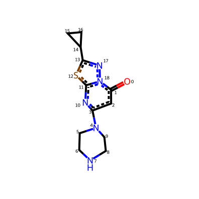 O=c1cc(N2CCNCC2)nc2sc(C3CC3)nn12